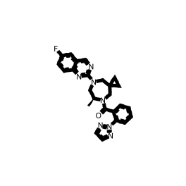 C[C@H]1CN(c2ncc3cc(F)ccc3n2)CC2(CC2)CN1C(=O)c1ccccc1-n1nccn1